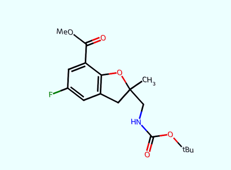 COC(=O)c1cc(F)cc2c1OC(C)(CNC(=O)OC(C)(C)C)C2